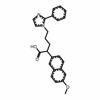 COc1ccc2cc(C(CCCn3ccnc3-c3ccccc3)C(=O)O)ccc2c1